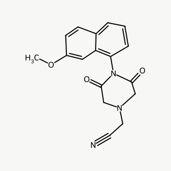 COc1ccc2cccc(N3C(=O)CN(CC#N)CC3=O)c2c1